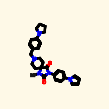 CCN1C(=O)N(c2ccc(-n3cccc3)cc2)C(=O)C12CCN(Cc1ccc(N3CCCC3)cc1)CC2